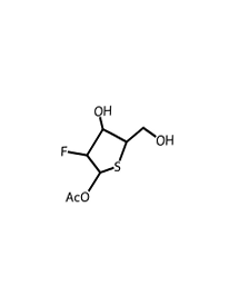 CC(=O)OC1SC(CO)C(O)C1F